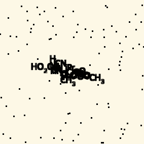 Cc1ccc(S(=O)(=O)n2cc(C(C)C)c3cc(Cc4c(C)cc(NN=C(C#N)C(=O)NC(=O)O)cc4C)ccc32)cc1